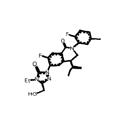 C=C(C)C1CN(c2cc(C)ccc2F)C(=O)c2cc(F)c(-n3nc(CO)n(CC)c3=O)cc21